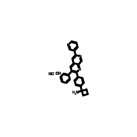 Cl.Cl.NC1(c2ccc(-c3nc4cnc(-c5cccnc5)cc4cc3-c3ccccc3)cc2)CCC1